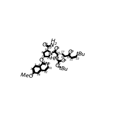 COc1ccc2c(O[C@@H]3C[C@@H](C(N)=O)N(C(=O)[C@H](CCC(=O)/C=C\C(C)(C)C)NC(=O)OC(C)(C)C)C3)nccc2c1